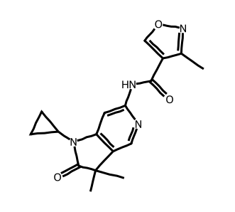 Cc1nocc1C(=O)Nc1cc2c(cn1)C(C)(C)C(=O)N2C1CC1